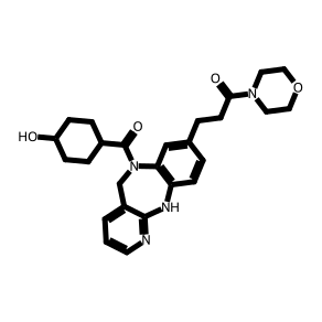 O=C(CCc1ccc2c(c1)N(C(=O)C1CCC(O)CC1)Cc1cccnc1N2)N1CCOCC1